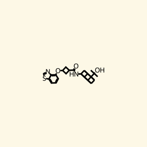 CC(C)(O)C12C3C4C1C1C2C3C41NC(=O)C1CC(Oc2cccc3scnc23)C1